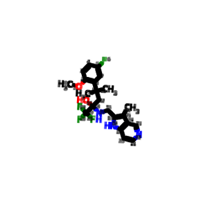 COc1ccc(F)cc1C(C)(C)CC(O)(NCc1[nH]c2ccncc2c1C)C(F)(F)F